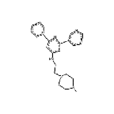 CN1CCN(CCNc2cc(-c3cccnc3)nc(-c3ccccn3)n2)CC1